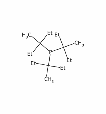 CCC(C)(CC)P(C(C)(CC)CC)C(C)(CC)CC